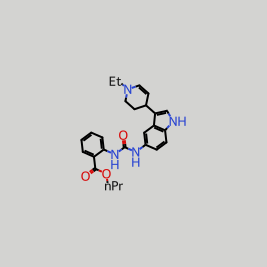 CCCOC(=O)c1ccccc1NC(=O)Nc1ccc2[nH]cc(C3C=CN(CC)CC3)c2c1